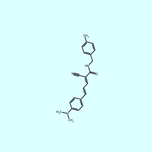 Cc1ccc(CNC(=O)/C(C#N)=C/C=C/c2ccc(N(C)C)cc2)cc1